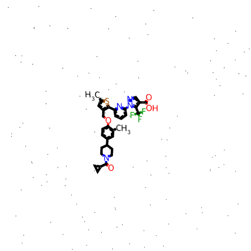 Cc1cc(COc2ccc(C3CCN(C(=O)C4CC4)CC3)cc2C)c(-c2cccc(-n3ncc(C(=O)O)c3C(F)(F)F)n2)s1